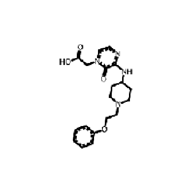 O=C(O)Cn1ccnc(NC2CCN(CCOc3ccccc3)CC2)c1=O